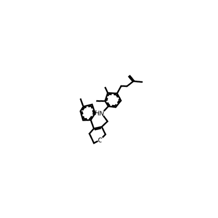 C=C(C)CCc1ccc(NCC2=C(c3ccc(C)cc3)CCCC2)c(C)c1C